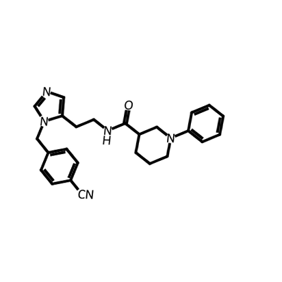 N#Cc1ccc(Cn2cncc2CCNC(=O)C2CCCN(c3ccccc3)C2)cc1